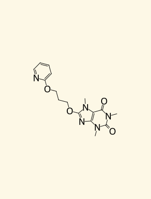 Cn1c(=O)c2c(nc(OCCCOc3ccccn3)n2C)n(C)c1=O